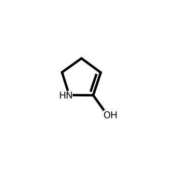 OC1=CCCN1